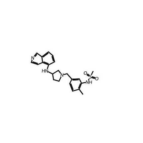 Cc1ccc(CN2CCC(Nc3cccc4cnccc34)C2)cc1NS(C)(=O)=O